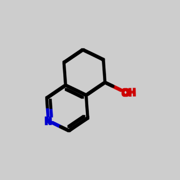 OC1CCCc2cnccc21